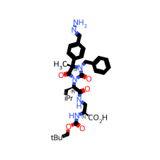 CC(C)C[C@H](C(=O)NC[C@H](NC(=O)OCC(C)(C)C)C(=O)O)N1C(=O)N(Cc2ccccc2)[C@@](C)(c2ccc(C=NN)cc2)C1=O